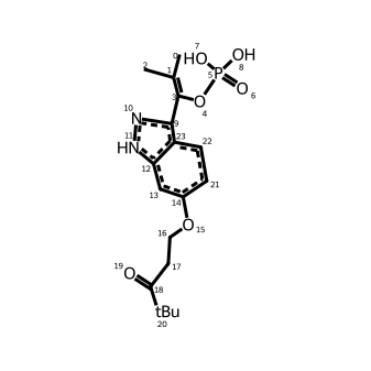 CC(C)=C(OP(=O)(O)O)c1n[nH]c2cc(OCCC(=O)C(C)(C)C)ccc12